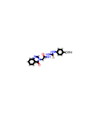 COc1ccc(NC(=S)NNC(=O)Cn2cnc3ccccc3c2=O)cc1